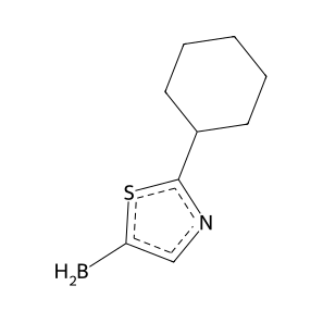 Bc1cnc(C2CCCCC2)s1